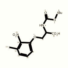 CC(C)(C)OC(=O)NC(COc1cccc(I)c1[N+](=O)[O-])C(=O)O